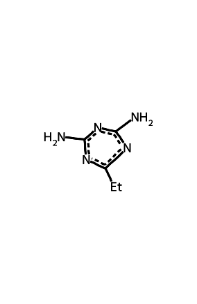 [CH2]Cc1nc(N)nc(N)n1